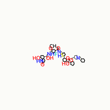 COc1cc(C(=O)NCc2ccc(-c3cccc(C(O)(C(=O)OCC4CCN(Cc5ccccc5)CC4)c4ccccc4)c3)s2)c(F)cc1CNCC(O)c1ccc(O)c2[nH]c(=O)ccc12